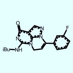 CCC(C)Nc1nc(=O)c2cnn3c2n1CC=C3c1cccc(F)c1